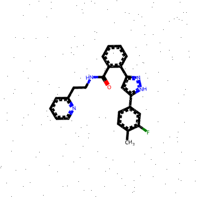 Cc1ccc(-c2cc(-c3ccccc3C(=O)NCCc3ccccn3)n[nH]2)cc1F